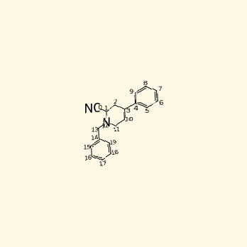 N#CC1CC(c2ccccc2)CCN1Cc1ccccc1